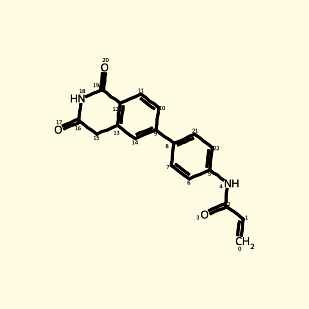 C=CC(=O)Nc1ccc(-c2ccc3c(c2)CC(=O)NC3=O)cc1